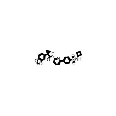 O=C(Nc1cccc(-c2ccc(S(=O)(=O)NC3CCC3)cc2)n1)C1(c2ccc3c(c2)OCO3)CC1